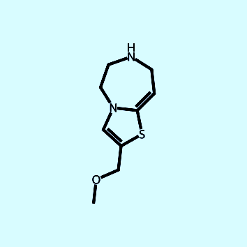 COCC1=CN2CCNCC=C2S1